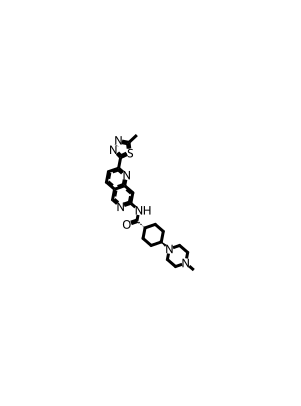 Cc1nnc(-c2ccc3cnc(NC(=O)[C@H]4CC[C@H](N5CCN(C)CC5)CC4)cc3n2)s1